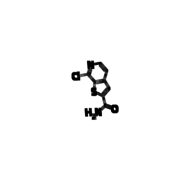 NC(=O)c1cc2ccnc(Cl)c2s1